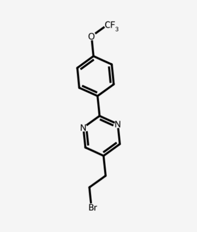 FC(F)(F)Oc1ccc(-c2ncc(CCBr)cn2)cc1